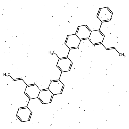 C/C=C/c1cc(-c2ccccc2)c2ccc3ccc(-c4ccc(-c5ccc6ccc7c(-c8ccccc8)cc(/C=C/C)nc7c6n5)c(C)c4)nc3c2n1